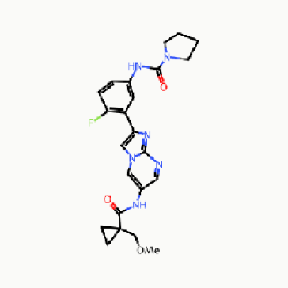 COCC1(C(=O)Nc2cnc3nc(-c4cc(NC(=O)N5CCCC5)ccc4F)cn3c2)CC1